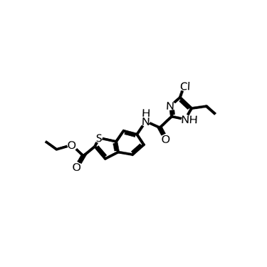 CCOC(=O)c1cc2ccc(NC(=O)c3nc(Cl)c(CC)[nH]3)cc2s1